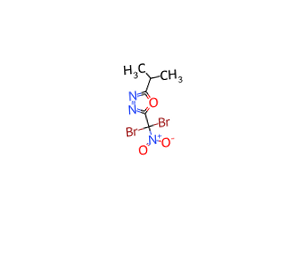 CC(C)c1nnc(C(Br)(Br)[N+](=O)[O-])o1